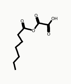 CCCCCCC(=O)OC(=O)C(=O)O